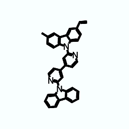 C=Cc1ccc2c(c1)c1cc(C)ccc1n2-c1cc(-c2ccnc(-n3c4ccccc4c4ccccc43)c2)ccn1